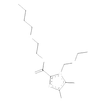 CCCCOCCOC(=O)c1nc(Cl)c(Cl)n1COCC